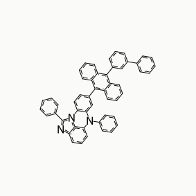 c1ccc(-c2cccc(-c3c4ccccc4c(-c4ccc5c(c4)N(c4ccccc4)c4cccc6nc(-c7ccccc7)n-5c46)c4ccccc34)c2)cc1